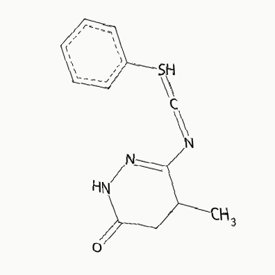 CC1CC(=O)NN=C1N=C=[SH]c1ccccc1